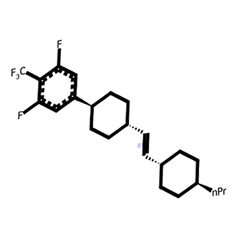 CCC[C@H]1CC[C@H](/C=C/[C@H]2CC[C@H](c3cc(F)c(C(F)(F)F)c(F)c3)CC2)CC1